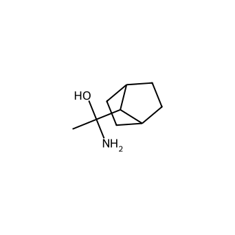 CC(N)(O)C1C2CCC1CC2